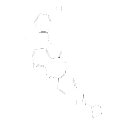 Cc1ccc(O)cc1Nc1ccnc2c1C(=O)Nc1cc(CNC3CCC3)ccc1N2